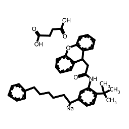 CC(C)(C)c1ccc([CH]([Na])CCCCCc2ccccc2)cc1NC(=O)CC1c2ccccc2Oc2ccccc21.O=C(O)CCC(=O)O